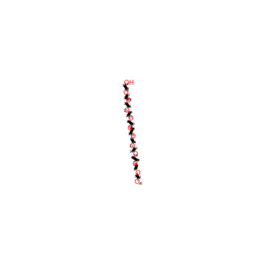 COCCOCCOCCOCCOCCOCCOCCOCCOCCOCCOCCO